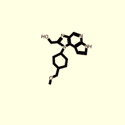 COCC1CCC(n2c(CO)nc3cnc4[nH]ccc4c32)CC1